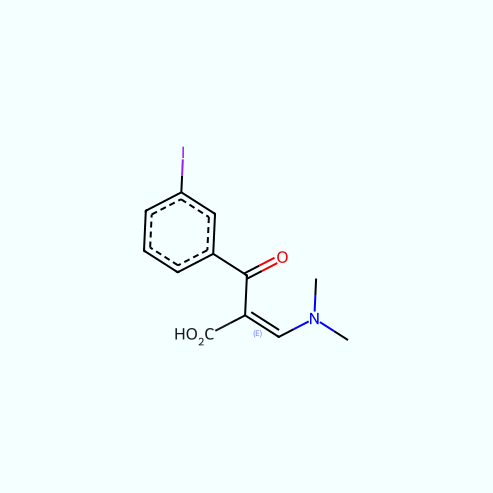 CN(C)/C=C(/C(=O)O)C(=O)c1cccc(I)c1